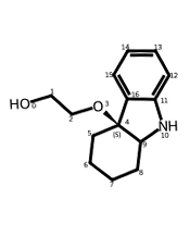 OCCO[C@]12CCCCC1Nc1ccccc12